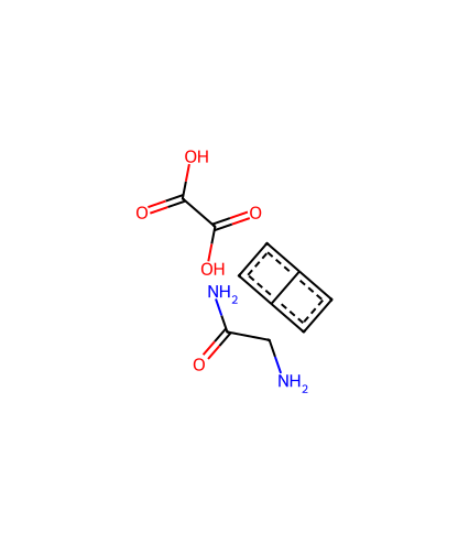 NCC(N)=O.O=C(O)C(=O)O.c1cc2ccc1-2